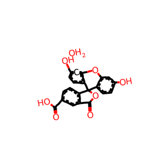 O.O=C(O)c1ccc2c(c1)C(=O)OC21c2ccc(O)cc2Oc2cc(O)ccc21